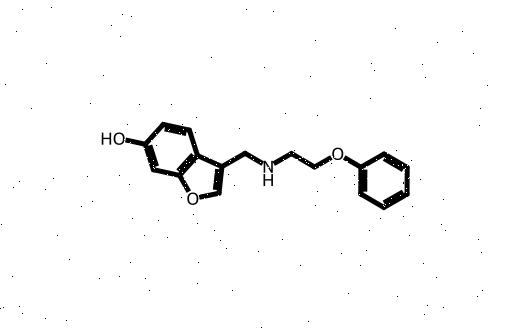 Oc1ccc2c(CNCCOc3ccccc3)coc2c1